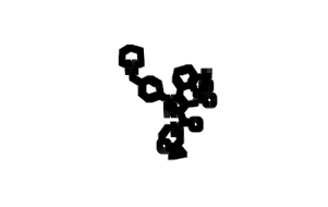 O=C(c1nn(-c2ccc(CN3CCCCC3)cc2)c2c1CS(=O)(=O)c1c(F)cccc1-2)N1CCOC2(CC2)C1